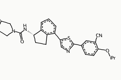 CC(C)Oc1ccc(-c2ncc(-c3cccc4c3CC[C@@H]4NC(=O)N3CC[C@@H](C)C3)s2)cc1C#N